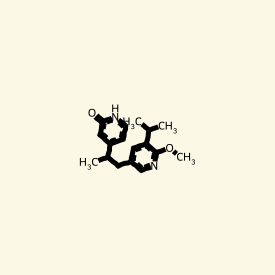 COc1ncc(CC(C)c2cc[nH]c(=O)c2)cc1C(C)C